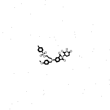 COc1ccc(CN(CCCOS(=O)(=O)c2ccc(C)cc2)c2ccc3c(c2)C(=O)N(C2CCC(=O)NC2=O)C3=O)cc1